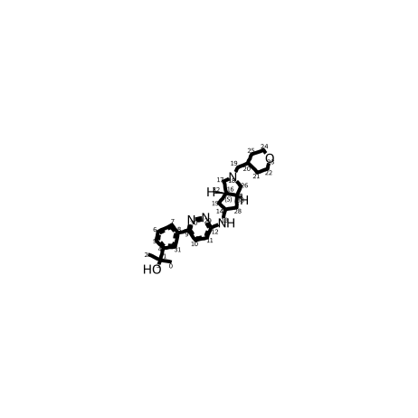 CC(C)(O)c1cccc(-c2ccc(NC3C[C@@H]4CN(CC5CCOCC5)C[C@@H]4C3)nn2)c1